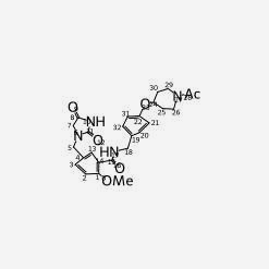 COc1ccc(CN2CC(=O)NC2=O)cc1C(=O)NCc1ccc(OC2CCN(C(C)=O)CC2)cc1